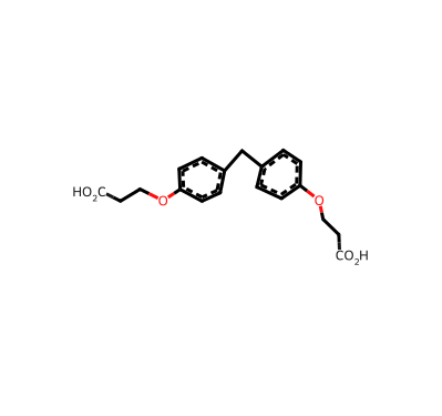 O=C(O)CCOc1ccc(Cc2ccc(OCCC(=O)O)cc2)cc1